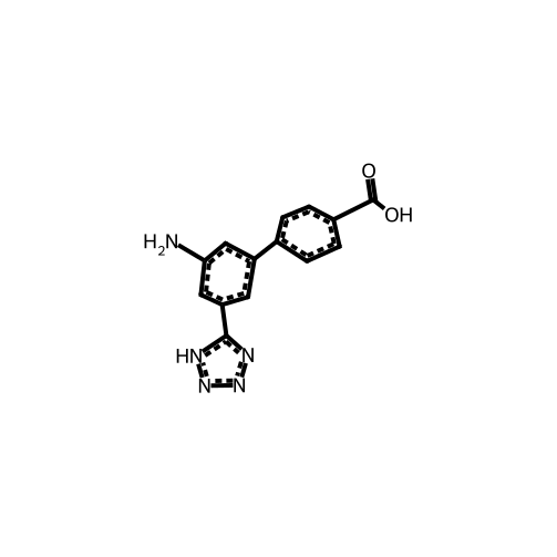 Nc1cc(-c2ccc(C(=O)O)cc2)cc(-c2nnn[nH]2)c1